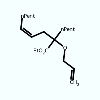 C=CCOC(C/C=C\CCCCC)(CCCCC)C(=O)OCC